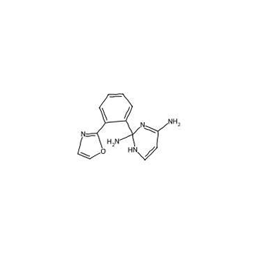 NC1=NC(N)(c2ccccc2-c2ncco2)NC=C1